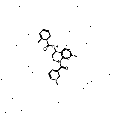 CC1=CC=CCC1C(=O)NC1CCN(C(=O)C2=CC=CN(C)C2)c2cc(C)ccc21